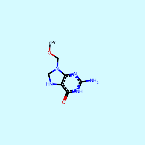 CCCOCN1CNc2c1nc(N)[nH]c2=O